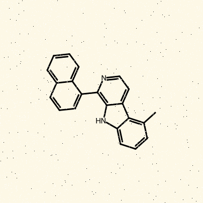 Cc1cccc2[nH]c3c(-c4cccc5ccccc45)nccc3c12